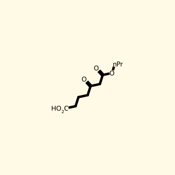 CCCOC(=O)CC(=O)CCCC(=O)O